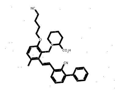 Cc1ccc(OCCCCC#N)c(CN2CCCCC2C(=O)O)c1/C=C/c1cccc(-c2ccccc2)c1C#N